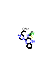 CO[C@H](C)C[C@H]1CN(C2=Nc3ccccc3Nc3sc(C(C)C)nc32)CCN1C.Cl.Cl